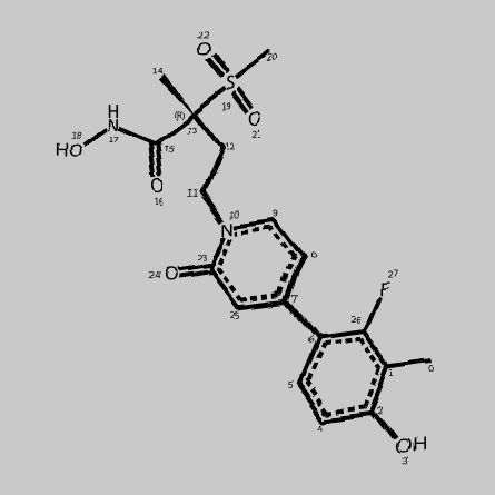 Cc1c(O)ccc(-c2ccn(CC[C@](C)(C(=O)NO)S(C)(=O)=O)c(=O)c2)c1F